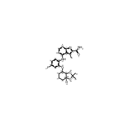 Cc1c(C(N)=O)sc2ncnc(Nc3ccc(F)cc3O[C@@H]3CCC[C@H]4OC(C)(C)OC34)c12